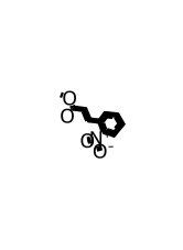 COC(=O)C=Cc1ccccc1[N+](=O)[O-]